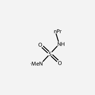 CCCNS(=O)(=O)[N]C